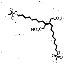 CS(=O)(=O)OCCCCCCCC/C(CC(=O)O)=C(/CCCCCCCCOS(C)(=O)=O)CC(=O)O